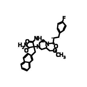 COCC1CN(C(Cc2ccc3ccccc3c2)(C(N)=O)C(N)=O)CCN1C(=O)[CH]Cc1ccc(F)cc1